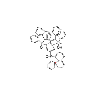 CP(O)(c1ccccc1)(c1cc(P(=O)(c2ccccc2)c2cccc3ccccc23)cc(P(=O)(c2ccccc2)c2cccc3ccccc23)c1)c1cccc2ccccc12